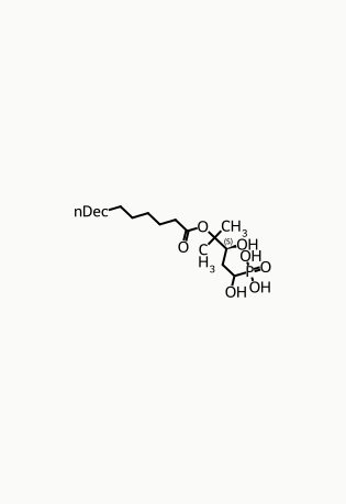 CCCCCCCCCCCCCCCC(=O)OC(C)(C)[C@@H](O)CC(O)P(=O)(O)O